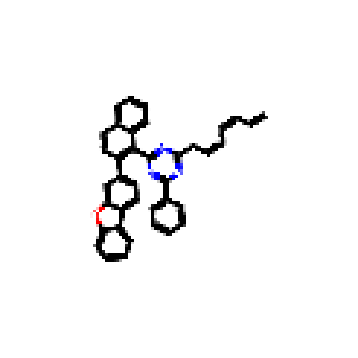 C=C/C=C\C=C/Cc1nc(-c2ccccc2)nc(-c2c(-c3ccc4c(c3)oc3ccccc34)ccc3ccccc23)n1